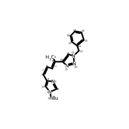 CCCCn1cnc(/C=C\C=C(/C)c2cn(Cc3ccccc3)nn2)c1